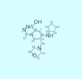 Cc1nnc(O)c2cc(NC3CCCC3)c(CN3CCOCC3)cc12